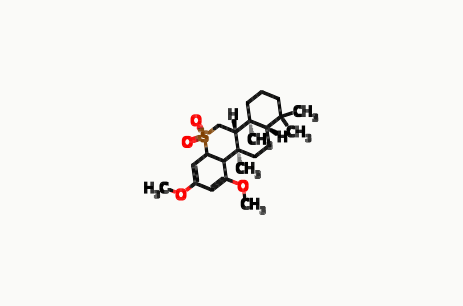 COC1=CC2C(C(OC)=C1)[C@]1(C)CC[C@H]3C(C)(C)CCC[C@]3(C)[C@H]1CS2(=O)=O